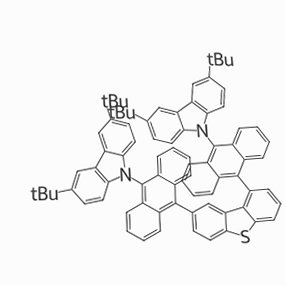 CC(C)(C)c1ccc2c(c1)c1cc(C(C)(C)C)ccc1n2-c1c2ccccc2c(-c2ccc3sc4cccc(-c5c6ccccc6c(-n6c7ccc(C(C)(C)C)cc7c7cc(C(C)(C)C)ccc76)c6ccccc56)c4c3c2)c2ccccc12